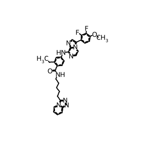 CCc1cc(Nc2nccn3c(-c4ccc(OC)c(F)c4F)cnc23)ccc1C(=O)NCCCCCc1nnc2ccccn12